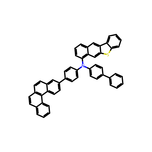 c1ccc(-c2ccc(N(c3ccc(-c4ccc5c(ccc6ccc7ccccc7c65)c4)cc3)c3cccc4cc5c(cc34)sc3ccccc35)cc2)cc1